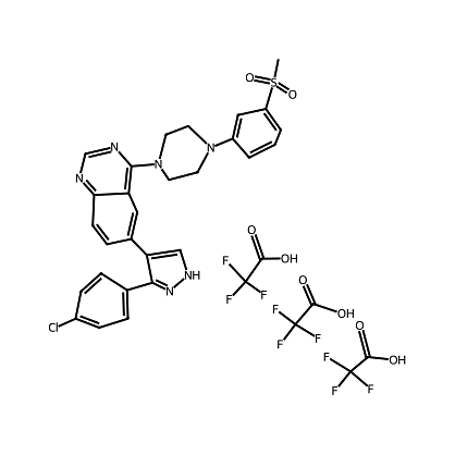 CS(=O)(=O)c1cccc(N2CCN(c3ncnc4ccc(-c5c[nH]nc5-c5ccc(Cl)cc5)cc34)CC2)c1.O=C(O)C(F)(F)F.O=C(O)C(F)(F)F.O=C(O)C(F)(F)F